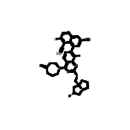 C#Cc1c(F)ccc2cc(O)cc(-c3ncc4c(N5CCCC(=O)CC5)nc(OC[C@@]56CCCN5C[C@H](F)C6)nc4c3F)c12